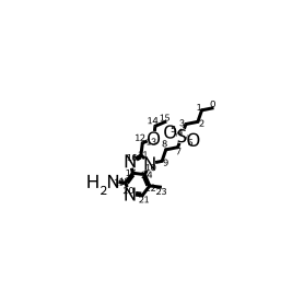 CCCCS(=O)(=O)CCCn1c(COCC)nc2c(N)ncc(C)c21